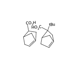 CC(C)(C)C1(C(=O)O)CC2=CCC1C2.O=C(O)C1CC2=CCC1C2